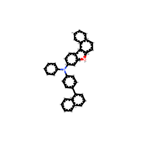 c1ccc(N(c2ccc(-c3cccc4ccccc34)cc2)c2ccc3c(c2)oc2ccc4ccccc4c23)cc1